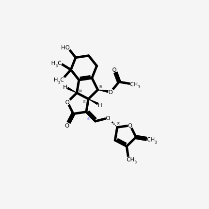 C=C1O[C@@H](O/C=C2/C(=O)O[C@@H]3C4=C(CCC(O)C4(C)C)[C@@H](OC(C)=O)[C@H]23)C=C1C